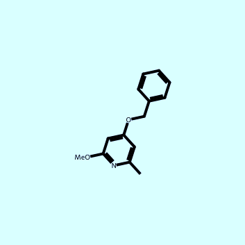 COc1cc(OCc2ccccc2)cc(C)n1